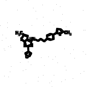 Cc1ccc(-c2ccc(CCCNc3nc(-c4ccoc4)nc4sc(C)cc34)cc2)s1